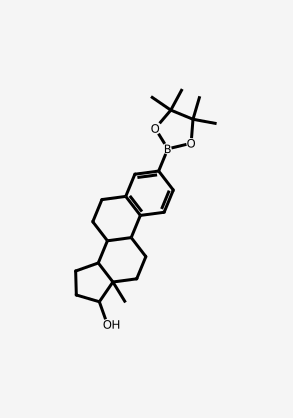 CC12CCC3c4ccc(B5OC(C)(C)C(C)(C)O5)cc4CCC3C1CCC2O